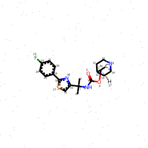 CC(C)(NC(=O)O[C@@H]1CN2CCC1CC2)c1csc(-c2ccc(F)cc2)n1